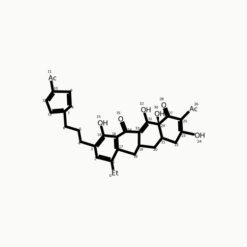 CCc1cc(CCCc2ccc(C(C)=O)cc2)c(O)c2c1CC1CC3CC(O)=C(C(C)=O)C(=O)[C@@]3(O)C(O)=C1C2=O